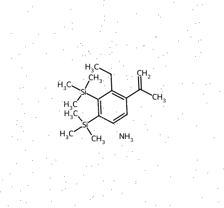 C=C(C)c1ccc([Si](C)(C)C)c([Si](C)(C)C)c1CC.N